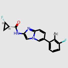 CC(=O)c1c(F)cccc1-c1ccc2nc(NC(=O)[C@@H]3C[C@@H]3F)cn2c1